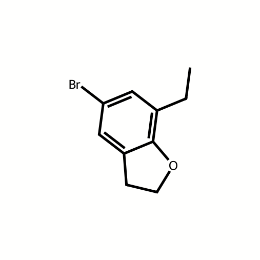 CCc1cc(Br)cc2c1OCC2